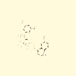 O=C(Nc1cc(F)cc(F)c1)C1(N2CCC(c3ccnc4ccc(F)cc34)CC2)CCC1